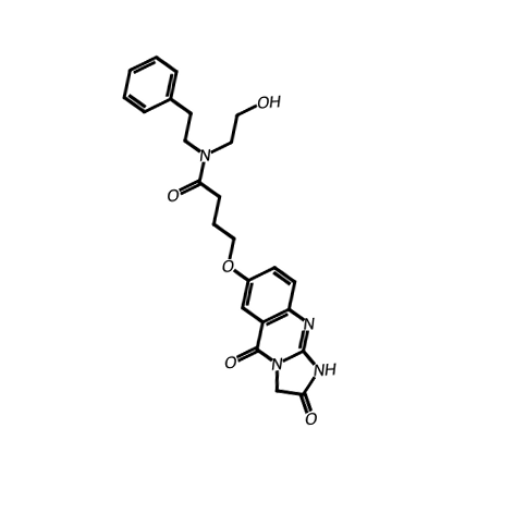 O=C1Cn2c(nc3ccc(OCCCC(=O)N(CCO)CCc4ccccc4)cc3c2=O)N1